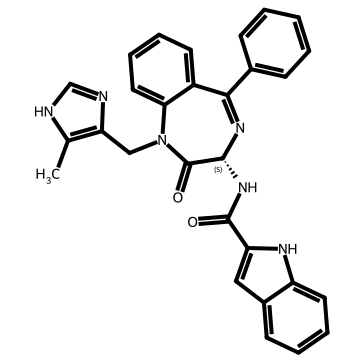 Cc1[nH]cnc1CN1C(=O)[C@@H](NC(=O)c2cc3ccccc3[nH]2)N=C(c2ccccc2)c2ccccc21